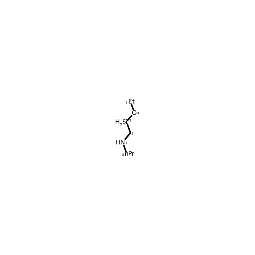 CCCNC[SiH2]OCC